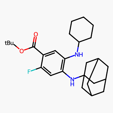 CC(C)(C)OC(=O)c1cc(NC2CCCCC2)c(NC23CC4CC(CC(C4)C2)C3)cc1F